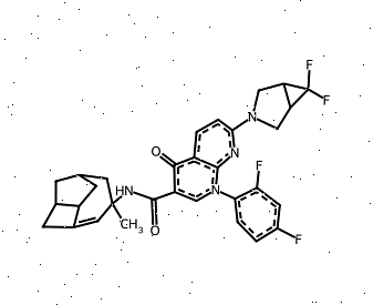 CC1(NC(=O)c2cn(-c3ccc(F)cc3F)c3nc(N4CC5C(C4)C5(F)F)ccc3c2=O)C=C2CC3CC(CC23)C1